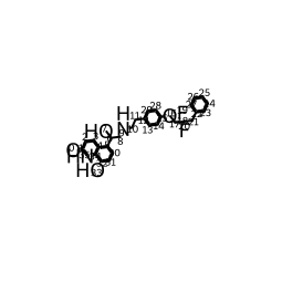 O=c1ccc2c(C(O)CNCCc3ccc(OCC(F)(F)Cc4ccccc4)cc3)ccc(O)c2[nH]1